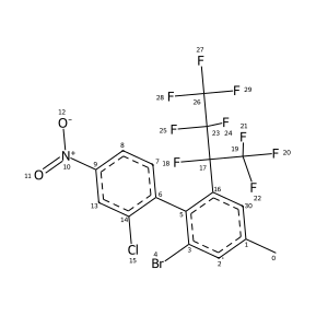 Cc1[c]c(Br)c(-c2ccc([N+](=O)[O-])cc2Cl)c(C(F)(C(F)(F)F)C(F)(F)C(F)(F)F)c1